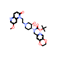 COc1cnc2ccc(=O)n(CCN3CC[C@@H](N(Cc4cc5c(cn4)OCCO5)C(=O)OC(C)(C)C)[C@H](O)C3)c2c1